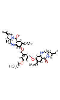 C/C=C1\C[C@H]2C=Nc3cc(OCc4cc(COc5cc6c(cc5OC)C(=O)N5C/C(=C/C)C[C@H]5C=N6)cc(OCC(=O)O)c4)c(OC)cc3C(=O)N2C1